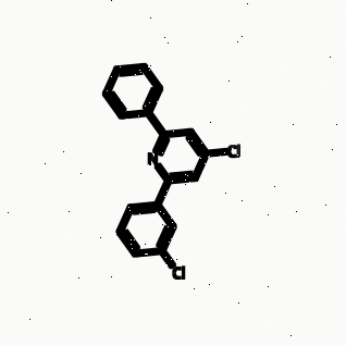 Clc1cccc(-c2cc(Cl)cc(-c3ccccc3)n2)c1